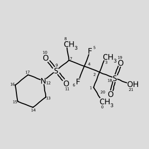 CCC(C)(C(F)(F)C(C)S(=O)(=O)N1CCCCC1)S(=O)(=O)O